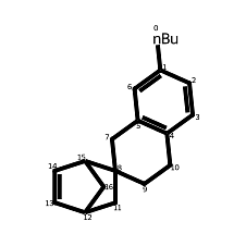 CCCCc1ccc2c(c1)CC1(CC2)CC2C=CC1C2